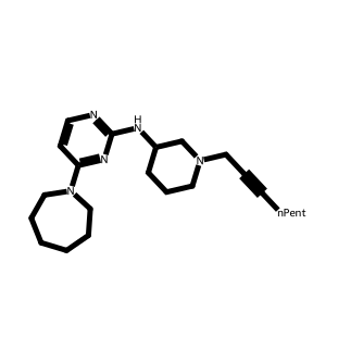 CCCCCC#CCN1CCCC(Nc2nccc(N3CCCCCC3)n2)C1